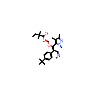 CCC(C)(C)C(=O)OCO/C(=C(/C=N\C)c1ccc(C(C)(C)C)cc1)c1c(C)c(C)nn1C